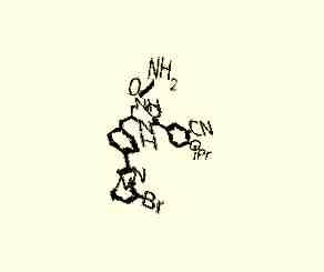 CC(C)Oc1ccc(C(=O)N[C@H](CNC(=O)CN)Cc2ccc(-c3cn4cccc(Br)c4n3)cc2)cc1C#N